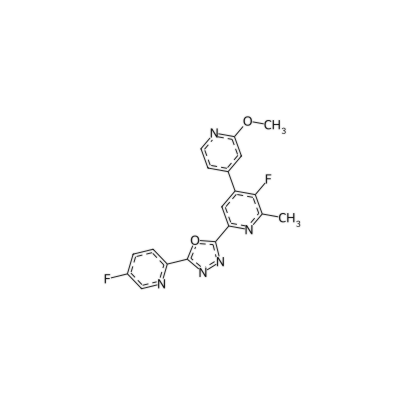 COc1cc(-c2cc(-c3nnc(-c4ccc(F)cn4)o3)nc(C)c2F)ccn1